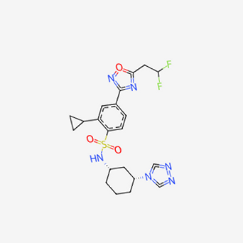 O=S(=O)(N[C@H]1CCC[C@@H](n2cnnc2)C1)c1ccc(-c2noc(CC(F)F)n2)cc1C1CC1